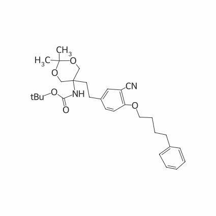 CC(C)(C)OC(=O)NC1(CCc2ccc(OCCCCc3ccccc3)c(C#N)c2)COC(C)(C)OC1